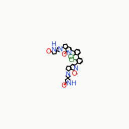 COc1nc(-c2cccc(-c3cccc(-c4cc5c(c(OC)n4)[C@@H](N4CC6(CCC(=O)N6)C4)CC5)c3Cl)c2Cl)cc2c1[C@@H](N1CC3(CNC(=O)C3)C1)CC2